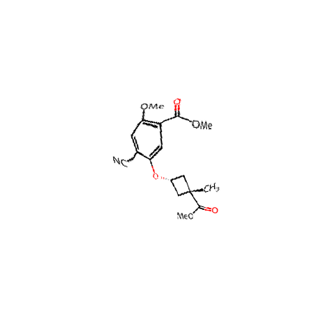 COC(=O)c1cc(O[C@H]2C[C@@](C)(C(=O)OC)C2)c(C#N)cc1OC